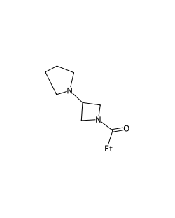 CCC(=O)N1CC(N2CCCC2)C1